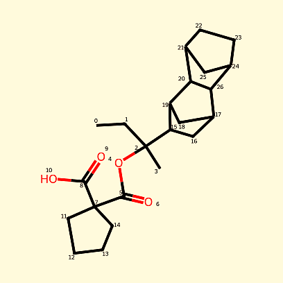 CCC(C)(OC(=O)C1(C(=O)O)CCCC1)C1CC2CC1C1C3CCC(C3)C21